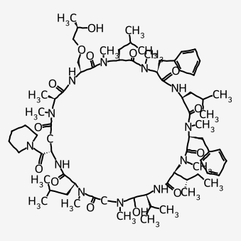 CC[C@H](C)[C@H]1C(=O)N[C@@H](C(C)C)C(O)N(C)CC(=O)N(C)[C@@H](CC(C)C)C(=O)N[C@H](C(=O)N2CCCCC2)CC(=O)N(C)[C@@H](C)C(=O)N[C@@H](COC[C@@H](C)O)C(=O)N(C)[C@@H](CC(C)C)C(=O)N(C)[C@@H](Cc2ccccc2)C(=O)N[C@@H](CC(C)C)C(=O)N(C)[C@@H](Cc2ccccc2)C(=O)N1C